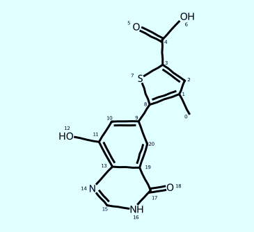 Cc1cc(C(=O)O)sc1-c1cc(O)c2nc[nH]c(=O)c2c1